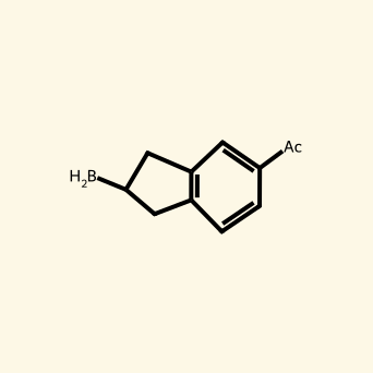 BC1Cc2ccc(C(C)=O)cc2C1